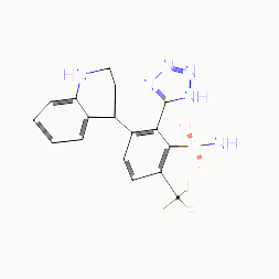 NS(=O)(=O)c1c(C(F)(F)F)ccc(C2CCNc3ccccc32)c1-c1nnn[nH]1